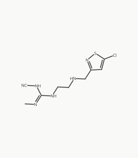 C/N=C(\NC#N)NCCNCc1cc(Cl)sn1